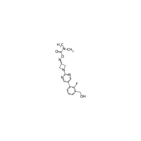 CN(C)C(=O)ON=C1CN(c2ncc(-c3cccc(CO)c3F)cn2)C1